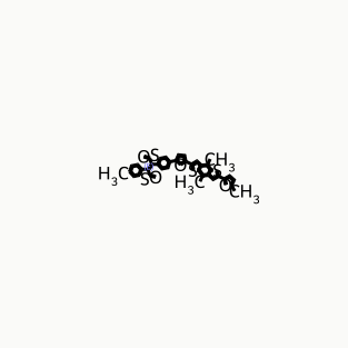 Cc1ccc2c(c1)SC(=O)/C2=C1/C(=O)Sc2cc(-c3ccc(-c4cc5c(C)c6sc(-c7ccc(C)o7)cc6c(C)c5s4)o3)ccc21